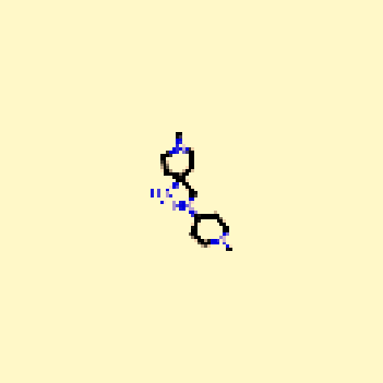 CN1CCC(NCC2(N)CCN(C)CC2)CC1